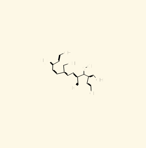 C#C\C(=C/C=C(/C=C\C(=C)/C=C/C)CC)C(SC)C(/C=C/C)=C/C